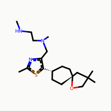 CNCCN(C)Cc1nc(C)sc1[C@H]1CC[C@@]2(CC1)CC(C)(C)CO2